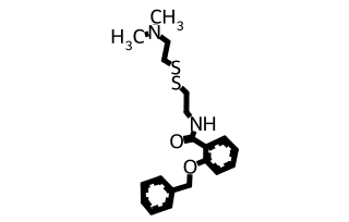 CN(C)CCSSCCNC(=O)c1ccccc1OCc1ccccc1